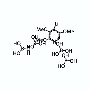 OB(O)O.OB(O)O.OB(O)O.OB(O)O.[Li][c]1c(OC)cnc(OC)c1OC